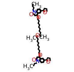 CCCCn1c(=O)cc(OCCCCCCCCC(C)OC(C)CCCCCCCCOc2cc(=O)n(CCCC)c3ccc(C4CCCO4)cc23)c2cc(C3CCCO3)ccc21